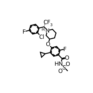 CS(=O)(=O)NC(=O)c1cc(C2CC2)c(OC2CCCN([C@H](c3ccc(F)cc3Cl)C(F)(F)F)C2)cc1F